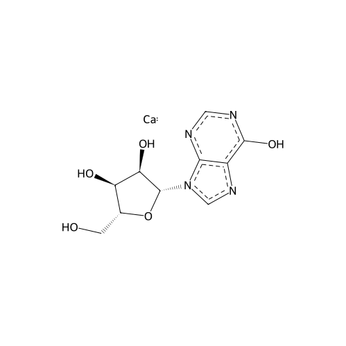 OC[C@H]1O[C@@H](n2cnc3c(O)ncnc32)[C@H](O)[C@@H]1O.[Ca]